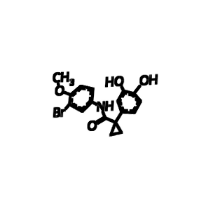 COc1ccc(NC(=O)C2(c3ccc(O)c(O)c3)CC2)cc1Br